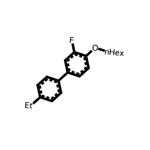 CCCCCCOc1ccc(-c2ccc(CC)cc2)cc1F